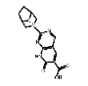 O=C(O)c1cc2cnc(N3CC4CCC(C3)O4)nc2[nH]c1=O